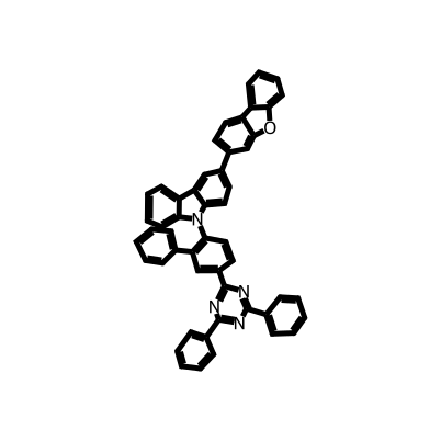 c1ccc(-c2nc(-c3ccccc3)nc(-c3ccc(-n4c5ccccc5c5cc(-c6ccc7c(c6)oc6ccccc67)ccc54)c(-c4ccccc4)c3)n2)cc1